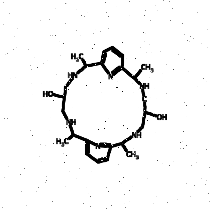 CC1NCC(O)CNC(C)c2cccc(n2)C(C)NCC(O)CNC(C)c2cccc1n2